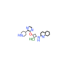 Cl.c1ccc2nc(N[C@H]3C[C@H](Oc4nccnc4C4CCNCC4)C3)ccc2c1